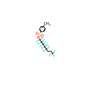 Cc1ccc(S(=O)(=O)OC(F)(F)C(F)(F)C(F)(F)C(F)(F)C(F)(F)CCC(F)(F)F)cc1